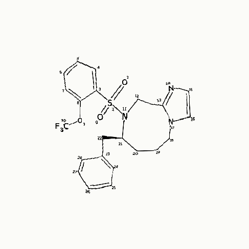 O=S(=O)(c1ccccc1OC(F)(F)F)N1Cc2nccn2CCC[C@H]1Cc1ccccc1